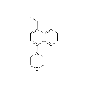 CCc1ccc(N2CCOCC2)c2ccccc12